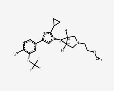 COCCN1C[C@@H]2[C@H](C1)[C@H]2n1cc(-c2cnc(N)c(OC(F)(F)F)c2)nc1C1CC1